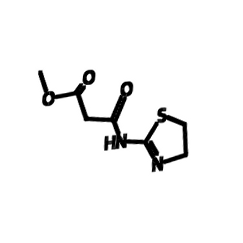 COC(=O)CC(=O)NC1=NCCS1